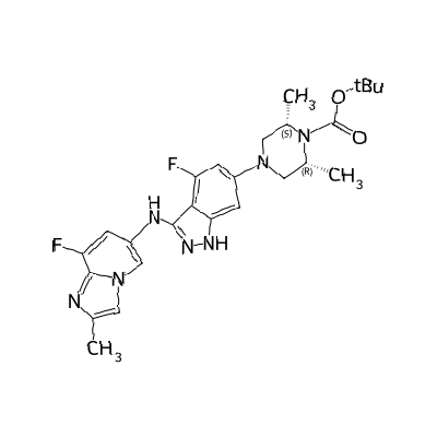 Cc1cn2cc(Nc3n[nH]c4cc(N5C[C@@H](C)N(C(=O)OC(C)(C)C)[C@@H](C)C5)cc(F)c34)cc(F)c2n1